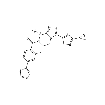 C[C@@H]1c2nnc(-c3nc(C4CC4)ns3)n2CCN1C(=O)c1ccc(-c2cccs2)cc1F